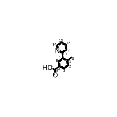 Cc1ccc(C(=O)O)cc1-c1ccccn1